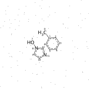 Cc1ccccc1.On1ccnc1